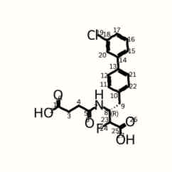 O=C(O)CCC(=O)N[C@H](Cc1ccc(-c2cccc(Cl)c2)cc1)C(F)C(=O)O